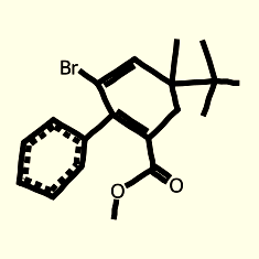 COC(=O)C1=C(c2ccccc2)C(Br)=CC(C)(C(C)(C)C)C1